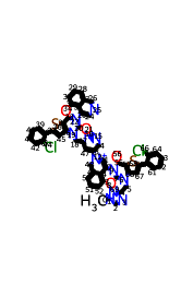 Cn1cnc(Cn2c(=O)n(-c3c[n+](-c4cnnc(Cn5c(=O)n(-c6cncc7ccccc67)c(=O)c6sc(-c7ccccc7Cl)cc65)c4)cc4ccccc34)c(=O)c3sc(-c4ccccc4Cl)cc32)n1